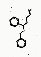 N=CCCC(OCc1ccccc1)c1cc[c]cc1